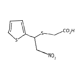 O=C(O)CSC(C[N+](=O)[O-])c1cccs1